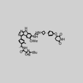 COc1cc2c(cc1NCCN[C@H]1C[C@@H](c3ccc(O[C@H]4CCC(=O)NC4=O)cc3)C1)[nH]c1ncnc(-c3ccc([C@@H](C)NC(=O)c4nc(C(C)(C)C)no4)c(C)c3)c12